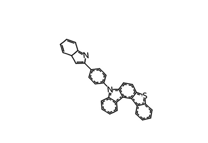 C1=CC2=NC(c3ccc(-n4c5ccccc5c5c6c(ccc54)sc4ccccc46)cc3)=CC2C=C1